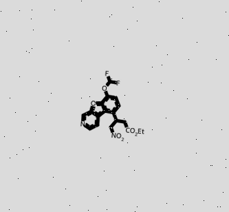 CCOC(=O)CC(C[N+](=O)[O-])c1ccc(OC(F)F)c2oc3cnccc3c12